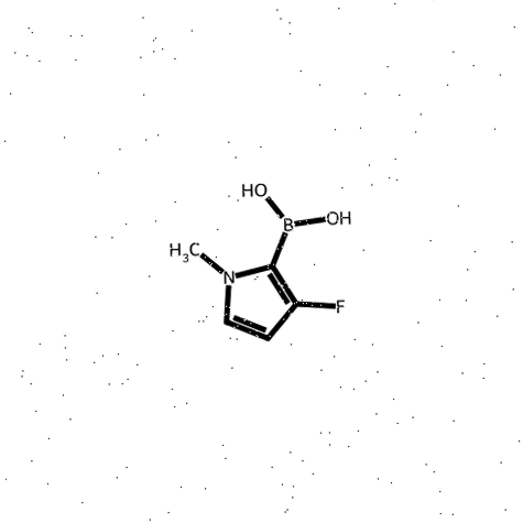 Cn1ccc(F)c1B(O)O